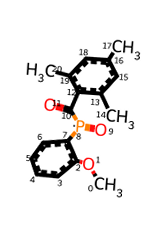 COc1ccccc1[P](=O)C(=O)c1c(C)cc(C)cc1C